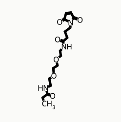 CCC(=O)NCCOCCOCCNC(=O)CCCN1C(=O)C=CC1=O